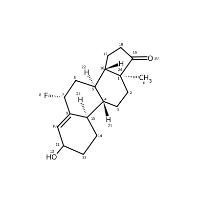 C[C@]12CC[C@H]3[C@@H](C[C@@H](F)C4=CC(O)CC[C@@H]43)[C@@H]1CCC2=O